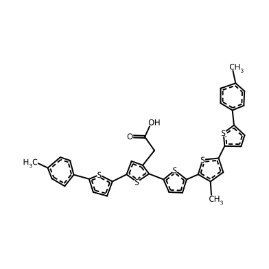 Cc1ccc(-c2ccc(-c3cc(C)c(-c4ccc(-c5sc(-c6ccc(-c7ccc(C)cc7)s6)cc5CC(=O)O)s4)s3)s2)cc1